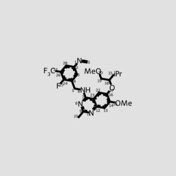 C=Nc1cc(CNc2nc(C)nc3cc(OC)c(OC(COC)C(C)C)cc23)c(F)c(C(F)(F)F)c1